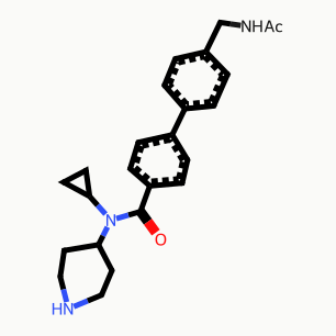 CC(=O)NCc1ccc(-c2ccc(C(=O)N(C3CCNCC3)C3CC3)cc2)cc1